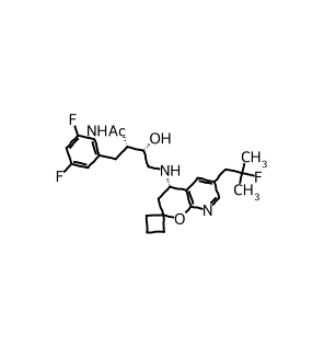 CC(=O)N[C@@H](Cc1cc(F)cc(F)c1)[C@H](O)CN[C@H]1CC2(CCC2)Oc2ncc(CC(C)(C)F)cc21